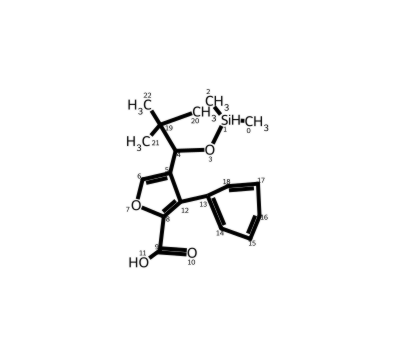 C[SiH](C)OC(c1coc(C(=O)O)c1-c1ccccc1)C(C)(C)C